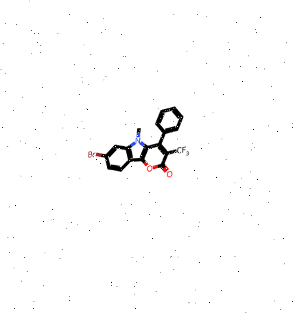 Cn1c2cc(Br)ccc2c2oc(=O)c(C(F)(F)F)c(-c3ccccc3)c21